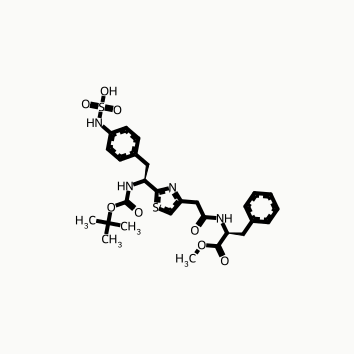 COC(=O)[C@H](Cc1ccccc1)NC(=O)Cc1csc([C@H](Cc2ccc(NS(=O)(=O)O)cc2)NC(=O)OC(C)(C)C)n1